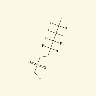 [CH2]CS(=O)(=O)CCC(F)(F)C(F)(F)C(F)(F)C(F)(F)F